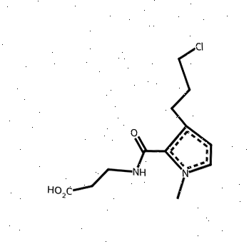 Cn1ccc(CCCCl)c1C(=O)NCCC(=O)O